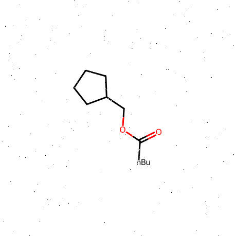 [CH2]CCCC(=O)OCC1CCCC1